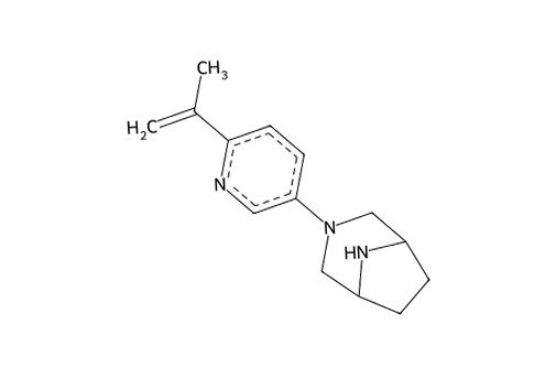 C=C(C)c1ccc(N2CC3CCC(C2)N3)cn1